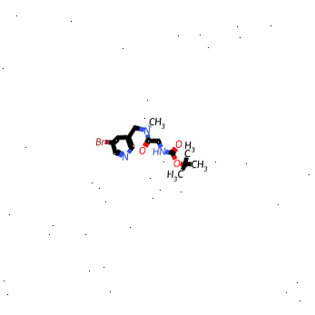 CN(Cc1cncc(Br)c1)C(=O)CNC(=O)OC(C)(C)C